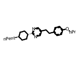 CCCCC[C@H]1CC[C@H](c2ncc(CCc3ccc(OCCC)cc3)cn2)CC1